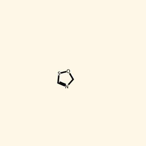 C1=NCOS1